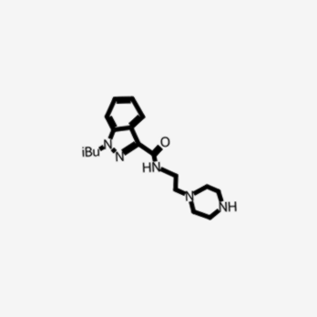 CCC(C)n1nc(C(=O)NCCN2CCNCC2)c2ccccc21